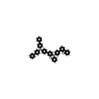 c1ccc(-c2ccc(N(c3ccc(-c4ccccc4)cc3)c3ccc(-c4ccc5c(c4)Oc4ccccc4N5c4ccc(-c5cccc6c5oc5ccccc56)cc4)cc3)cc2)cc1